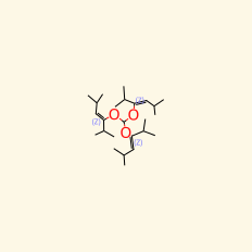 CC(C)/C=C(\OC(O/C(=C\C(C)C)C(C)C)O/C(=C\C(C)C)C(C)C)C(C)C